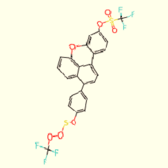 O=S(=O)(Oc1ccc2c(c1)Oc1cccc3c(-c4ccc(OSOOC(F)(F)F)cc4)ccc-2c13)C(F)(F)F